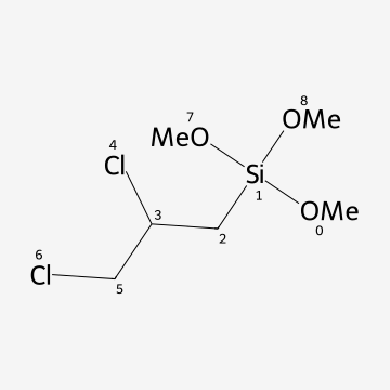 CO[Si](CC(Cl)CCl)(OC)OC